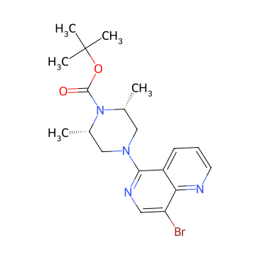 C[C@@H]1CN(c2ncc(Br)c3ncccc23)C[C@H](C)N1C(=O)OC(C)(C)C